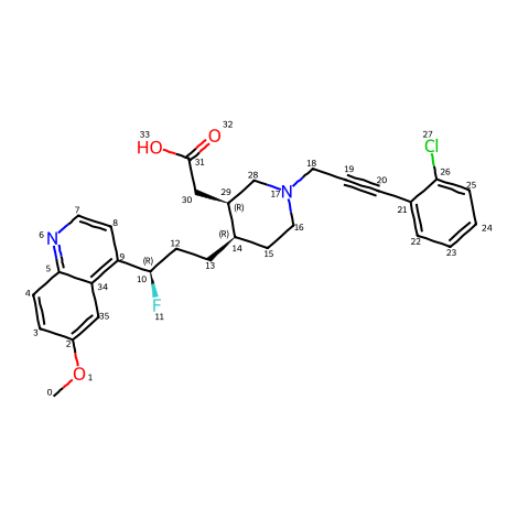 COc1ccc2nccc([C@H](F)CC[C@@H]3CCN(CC#Cc4ccccc4Cl)C[C@@H]3CC(=O)O)c2c1